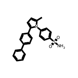 Cc1ccc(-c2ccc(-c3ccccc3)cc2)n1-c1ccc(S(N)(=O)=O)cc1